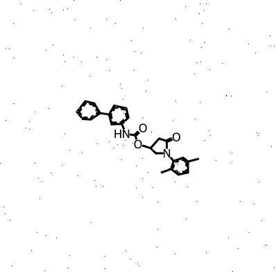 Cc1ccc(C)c(N2CC(OC(=O)Nc3cccc(-c4ccccc4)c3)CC2=O)c1